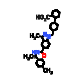 Cc1ccc([C@H](C)NC(=O)c2ccc3c(c2)c(C)nn3Cc2ccc(-c3ccccc3C(=O)O)cc2)cc1